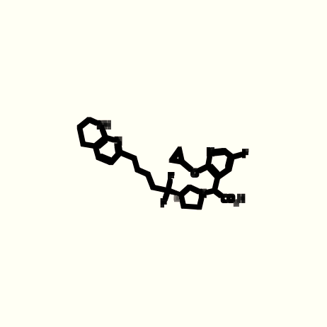 O=C(O)C(c1cc(F)cnc1OC1CC1)N1CC[C@@H](C(F)(F)CCCCc2ccc3c(n2)NCCC3)C1